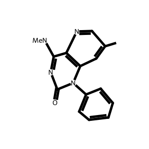 CNc1nc(=O)n(-c2ccccc2)c2cc(C)cnc12